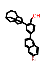 OCc1ccc(-c2ccc3cc(Br)ccc3c2)cc1C12CC3CCCC(C1)C(C3)C2